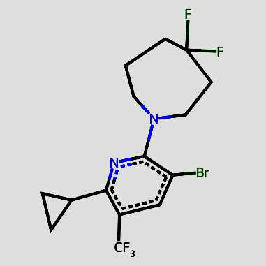 FC1(F)CCCN(c2nc(C3CC3)c(C(F)(F)F)cc2Br)CC1